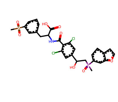 CP(=O)(CC(O)c1cc(Cl)c(C(=O)NC(Cc2cccc(S(C)(=O)=O)c2)C(=O)O)c(Cl)c1)c1ccc2ccoc2c1